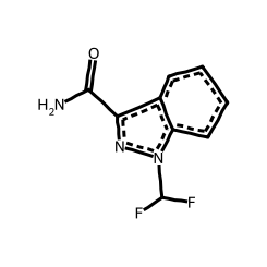 NC(=O)c1nn(C(F)F)c2ccccc12